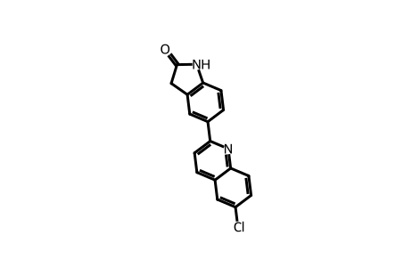 O=C1Cc2cc(-c3ccc4cc(Cl)ccc4n3)ccc2N1